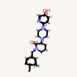 Cc1ccc(CN2CCCC(N3CCN(c4ccc(O)cn4)CC3)C2=O)cc1F